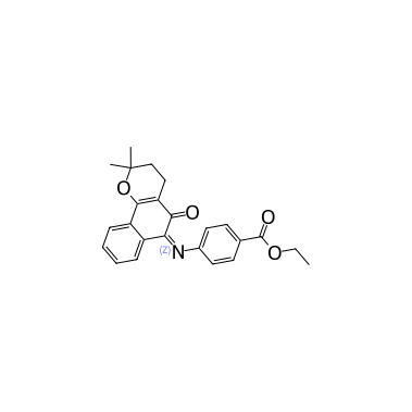 CCOC(=O)c1ccc(/N=C2\C(=O)C3=C(OC(C)(C)CC3)c3ccccc32)cc1